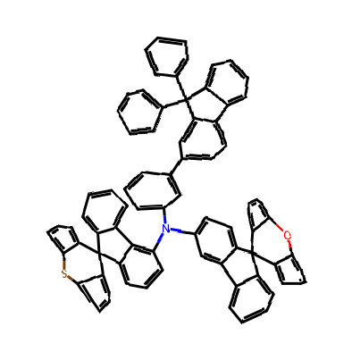 c1ccc(C2(c3ccccc3)c3ccccc3-c3ccc(-c4cccc(N(c5ccc6c(c5)-c5ccccc5C65c6ccccc6Oc6ccccc65)c5cccc6c5-c5ccccc5C65c6ccccc6Sc6ccccc65)c4)cc32)cc1